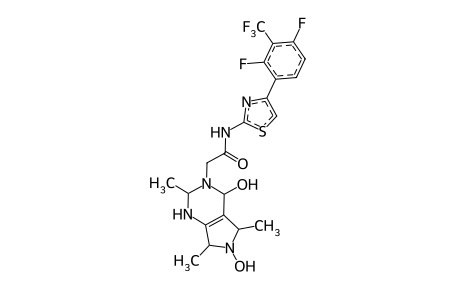 CC1C2=C(C(C)N1O)C(O)N(CC(=O)Nc1nc(-c3ccc(F)c(C(F)(F)F)c3F)cs1)C(C)N2